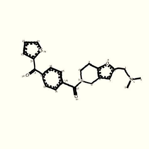 CN(C)Cc1cc2c(o1)CCN(C(=O)c1ccc(C(=O)c3cccs3)cc1)C2